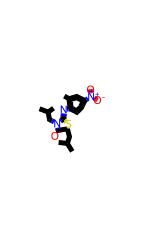 Cc1cc([N+](=O)[O-])ccc1/N=C1\SC(CC(C)C)C(=O)N1CC(C)C